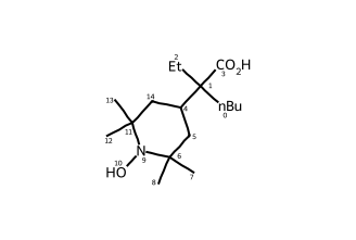 CCCCC(CC)(C(=O)O)C1CC(C)(C)N(O)C(C)(C)C1